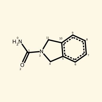 NC(=O)N1Cc2ccccc2C1